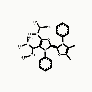 CC1=C(C)N(c2ccccc2)/C(=C2\OC(P(P)P(P)P)=C(P(PP)P(P)P)N2c2ccccc2)O1